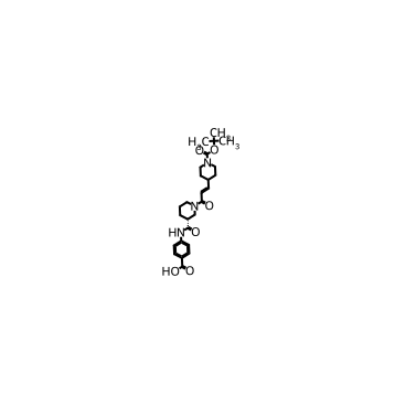 CC(C)(C)OC(=O)N1CCC(/C=C/C(=O)N2CCC[C@@H](C(=O)Nc3ccc(C(=O)O)cc3)C2)CC1